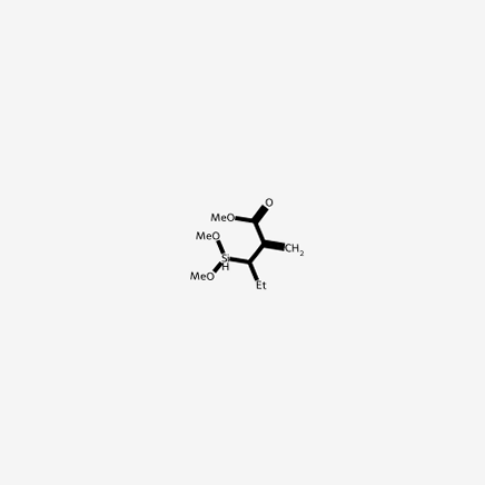 C=C(C(=O)OC)C(CC)[SiH](OC)OC